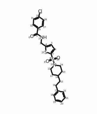 O=C(NCc1ccc(S(=O)(=O)N2CCC(CCc3ccccc3)CC2)s1)c1ccc(Cl)cc1